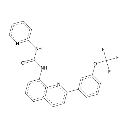 O=C(Nc1ccccn1)Nc1cccc2ccc(-c3cccc(OC(F)(F)F)c3)nc12